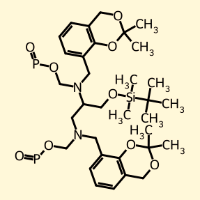 CC1(C)OCc2cccc(CN(COP=O)CC(CO[Si](C)(C)C(C)(C)C)N(COP=O)Cc3cccc4c3OC(C)(C)OC4)c2O1